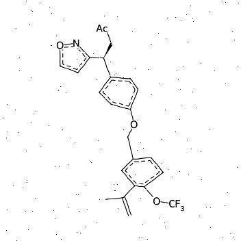 C=C(C)c1cc(COc2ccc([C@H](CC(C)=O)c3ccon3)cc2)ccc1OC(F)(F)F